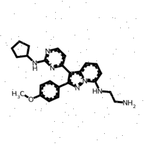 COc1ccc(-c2nn3c(NCCN)cccc3c2-c2ccnc(NC3CCCC3)n2)cc1